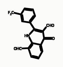 O=Cc1c(-c2cccc(C(F)(F)F)c2)[nH]c2c(C=O)cccc2c1=O